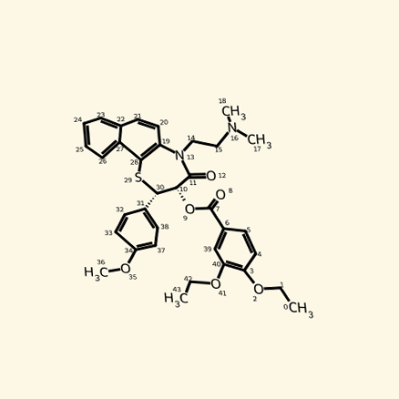 CCOc1ccc(C(=O)O[C@H]2C(=O)N(CCN(C)C)c3ccc4ccccc4c3S[C@H]2c2ccc(OC)cc2)cc1OCC